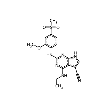 CCNc1nc(Nc2ccc(S(C)(=O)=O)cc2OC)nc2[nH]cc(C#N)c12